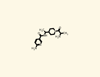 CC(N)C(=O)N1CCC(C(C)NC(=O)c2ccc(N)nc2)CC1